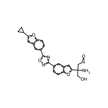 NC(CO)(CN=O)c1cc2cc(-c3noc(-c4ccc5oc(C6CC6)cc5c4)n3)ccc2o1